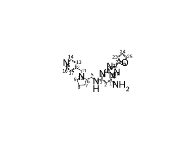 Nc1cc(NCC2CCCN2Cc2ccncc2)nc2nc(-c3ccco3)nn12